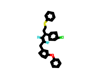 F/C(Cc1cccc(Oc2ccccc2)c1)=C(/F)C(CCSc1ccccc1)c1ccc(Cl)cc1